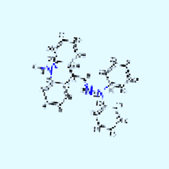 C[n+]1c2ccccc2c(C=NN(c2ccccc2)c2ccccc2)c2ccccc21